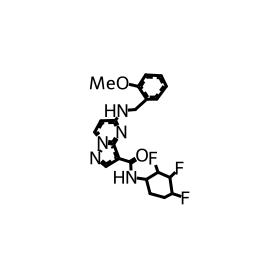 COc1ccccc1CNc1ccn2ncc(C(=O)NC3CCC(F)C(F)C3F)c2n1